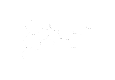 CCCCC(CC)COP(=O)(OCC(CC)CCCC)N(C)CCO